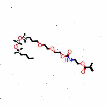 C=C(C)C(=O)OCCNC(=O)OCCOCCOCCC[Si](C)(C)O[Si](C)(C)O[Si](C)(C)CCCC